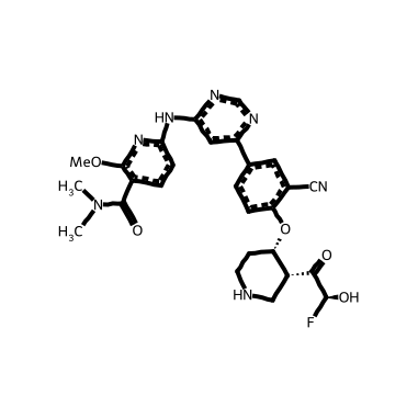 COc1nc(Nc2cc(-c3ccc(O[C@H]4CCNC[C@H]4C(=O)[C@@H](O)F)c(C#N)c3)ncn2)ccc1C(=O)N(C)C